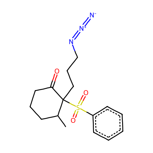 CC1CCCC(=O)C1(CCCN=[N+]=[N-])S(=O)(=O)c1ccccc1